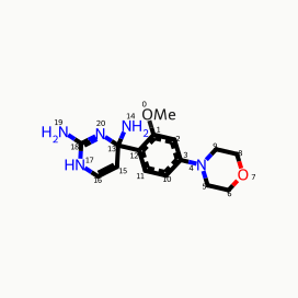 COc1cc(N2CCOCC2)ccc1C1(N)C=CNC(N)=N1